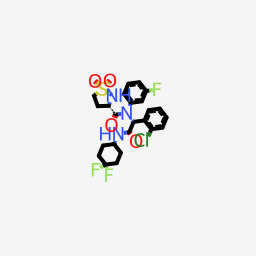 O=C(NC1CCC(F)(F)CC1)C(c1ccccc1Cl)N(C(=O)[C@@H]1CCS(=O)(=O)N1)c1cccc(F)c1